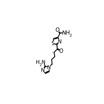 NC(=O)c1csc(C(=O)[CH]CCCn2ccnc2N)n1